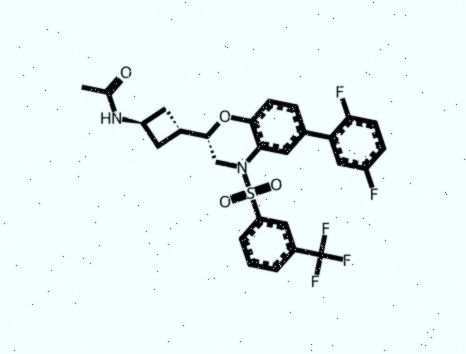 CC(=O)N[C@H]1C[C@H]([C@H]2CN(S(=O)(=O)c3cccc(C(F)(F)F)c3)c3cc(-c4cc(F)ccc4F)ccc3O2)C1